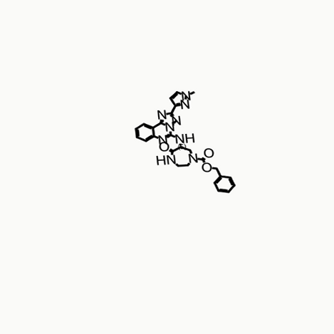 Cn1ccc(-c2nc3c4ccccc4nc(N[C@H]4CN(C(=O)OCc5ccccc5)CCNC4=O)n3n2)n1